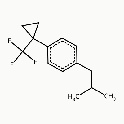 CC(C)Cc1ccc(C2(C(F)(F)F)CC2)cc1